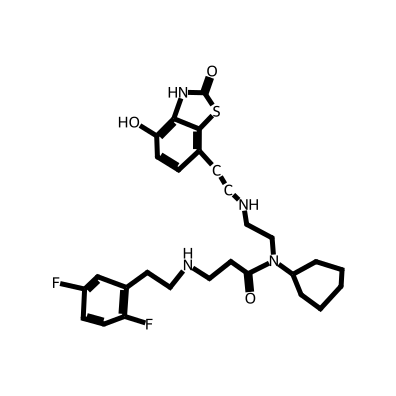 O=C(CCNCCc1cc(F)ccc1F)N(CCNCCc1ccc(O)c2[nH]c(=O)sc12)C1CCCCC1